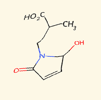 CC(CN1C(=O)C=CC1O)C(=O)O